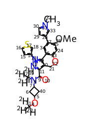 [2H]C([2H])([2H])OC1CC(N(C(=O)c2nn(-c3ccsc3)c3c2COc2cc(OC)c(-c4ccn(C)c4)cc2-3)C([2H])([2H])[2H])C1